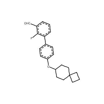 O=Cc1cccc(-c2ccc(OC3CCC4(CCC4)CC3)cc2)c1F